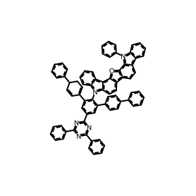 C1=CC(c2ccccc2)CC=C1c1cc(-c2nc(-c3ccccc3)nc(-c3ccccc3)n2)cc(-c2ccc(-c3ccccc3)cc2)c1-n1c2ccccc2c2c3oc4c(ccc5c6ccccc6n(-c6ccccc6)c54)c3ccc21